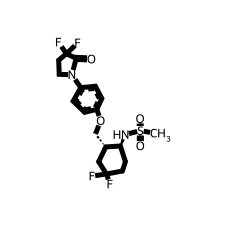 CS(=O)(=O)N[C@H]1CCC(F)(F)C[C@@H]1COc1ccc(N2CCC(F)(F)C2=O)cc1